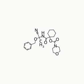 CC(C#N)(NC(=O)C1(OC(=O)N2CCOCC2)CCCCC1)OCc1ccccc1